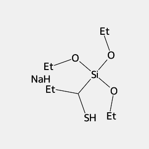 CCO[Si](OCC)(OCC)C(S)CC.[NaH]